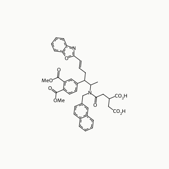 COC(=O)c1ccc(C(C/C=C/c2nc3ccccc3o2)C(C)N(Cc2ccc3ccccc3c2)C(=O)CC(CC(=O)O)C(=O)O)cc1C(=O)OC